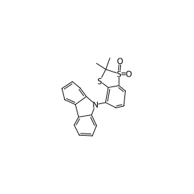 CC1(C)Sc2c(-n3c4ccccc4c4ccccc43)cccc2S1(=O)=O